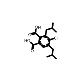 CC(C)Cc1cc(C(=O)O)c(C(=O)O)c(CC(C)C)c1Cl